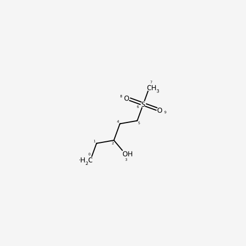 [CH2]CC(O)CCS(C)(=O)=O